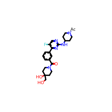 CC(=O)N1CCC(Nc2ncc(F)c(-c3cccc(C(=O)N4CCC(O)(CO)CC4)c3)n2)CC1